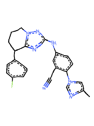 Cc1cn(-c2ccc(Nc3nc4n(n3)CCCC4c3ccc(F)cc3)cc2C#N)cn1